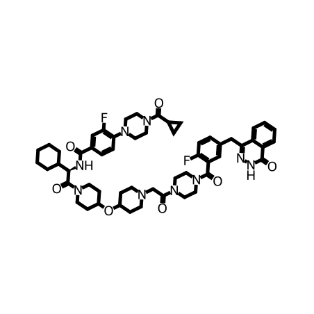 O=C(N[C@@H](C(=O)N1CCC(OC2CCN(CC(=O)N3CCN(C(=O)c4cc(Cc5n[nH]c(=O)c6ccccc56)ccc4F)CC3)CC2)CC1)C1CCCCC1)c1ccc(N2CCN(C(=O)C3CC3)CC2)c(F)c1